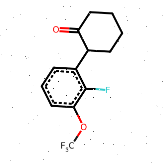 O=C1CCCCC1c1cccc(OC(F)(F)F)c1F